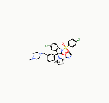 COc1ccc(CN2CCN(C)CC2)cc1C1(N2CCC[C@H]2c2ncco2)C(=O)N(S(=O)(=O)c2ccc(Cl)cc2)c2ccc(Cl)cc21